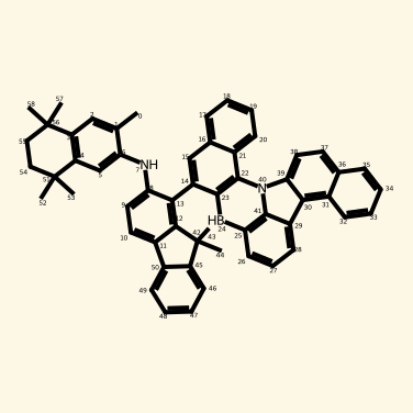 Cc1cc2c(cc1Nc1ccc3c(c1-c1cc4ccccc4c4c1Bc1cccc5c6c7ccccc7ccc6n-4c15)C(C)(C)c1ccccc1-3)C(C)(C)CCC2(C)C